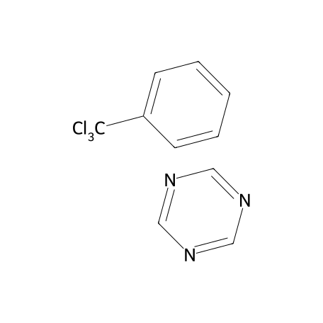 ClC(Cl)(Cl)c1ccccc1.c1ncncn1